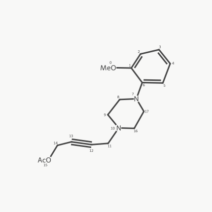 COc1ccccc1N1CCN(CC#CCOC(C)=O)CC1